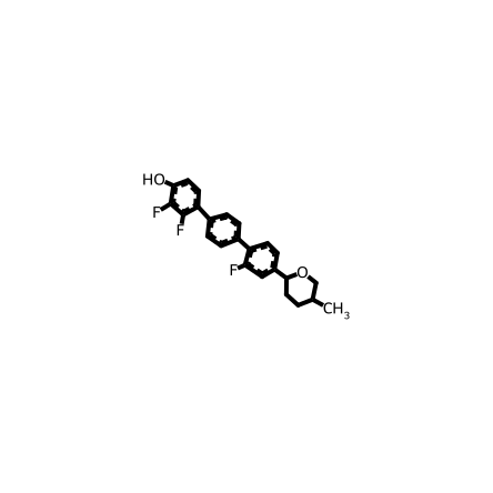 CC1CCC(c2ccc(-c3ccc(-c4ccc(O)c(F)c4F)cc3)c(F)c2)OC1